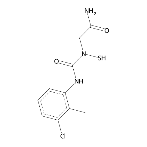 Cc1c(Cl)cccc1NC(=O)N(S)CC(N)=O